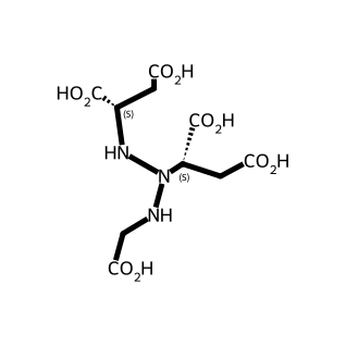 O=C(O)CNN(N[C@@H](CC(=O)O)C(=O)O)[C@@H](CC(=O)O)C(=O)O